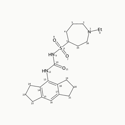 CCN1CCCC(S(=O)(=O)NC(=O)Nc2c3c(cc4c2CCC4)CCC3)CC1